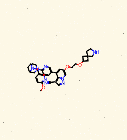 COc1ccc(CN2C3CC2CN(c2ccc(-c4cc(OCCOC5CC6(CCNC6)C5)cn5ncc(C#N)c45)cn2)C3)cn1